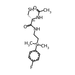 CC(=O)N[C@@H](CS)C(=O)NCC[Si](C)(C)c1ccc(F)cc1